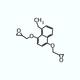 CCc1cccc2c(OCC3CO3)ccc(OCC3CO3)c12